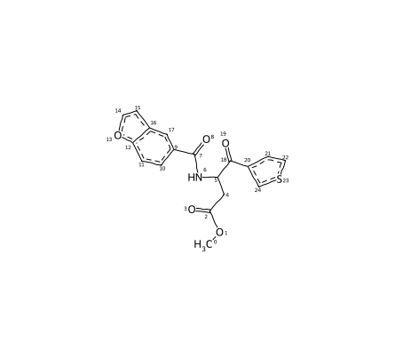 COC(=O)CC(NC(=O)c1ccc2occc2c1)C(=O)c1ccsc1